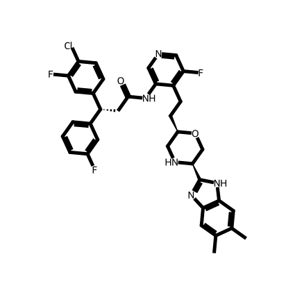 Cc1cc2nc([C@@H]3CO[C@H](CCc4c(F)cncc4NC(=O)C[C@H](c4cccc(F)c4)c4ccc(Cl)c(F)c4)CN3)[nH]c2cc1C